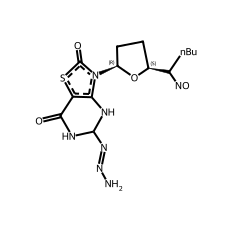 CCCCC(N=O)[C@@H]1CC[C@H](n2c3c(sc2=O)C(=O)NC(N=NN)N3)O1